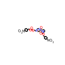 O=C(OCCN1CCN(C(=O)[C@H]2CCC[N+]2(S)C(=O)OCc2ccc([N+](=O)[O-])cc2)CC1)OCc1ccc([N+](=O)[O-])cc1